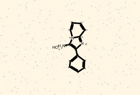 Cl.Nc1c(-c2ccccc2)nc2ccccn12